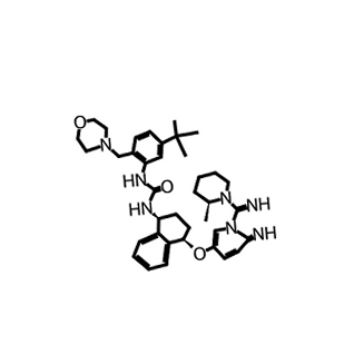 C[C@H]1CCCCN1C(=N)n1cc(O[C@@H]2CC[C@H](NC(=O)Nc3cc(C(C)(C)C)ccc3CN3CCOCC3)c3ccccc32)ccc1=N